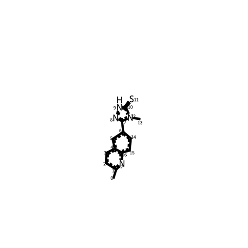 Cc1ccc2cc(-c3n[nH]c(=S)n3C)ccc2n1